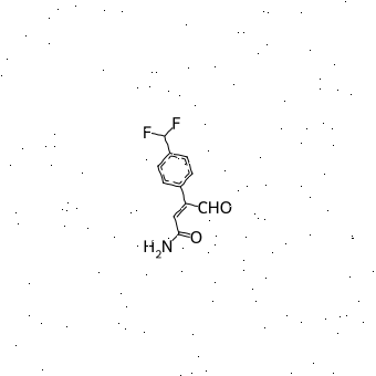 NC(=O)/C=C(\C=O)c1ccc(C(F)F)cc1